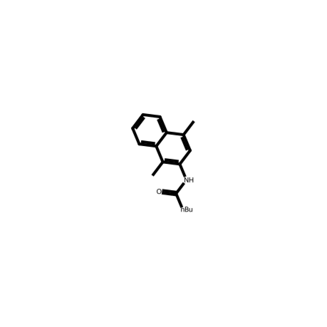 CCCCC(=O)Nc1cc(C)c2ccccc2c1C